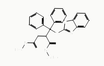 CCCCCCNC(=O)CC(C(=O)NCCCCCC)C(Sc1nc2ccccc2s1)(c1ccccc1)c1ccccc1